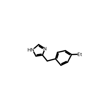 CCc1ccc(Cc2c[nH]cn2)cc1